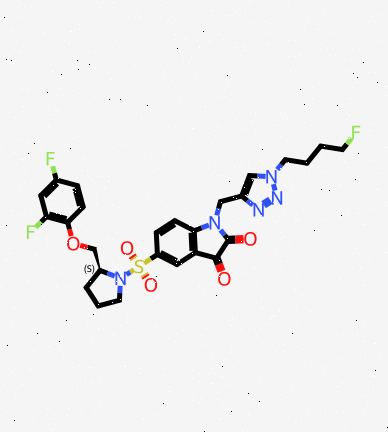 O=C1C(=O)N(Cc2cn(CCCCF)nn2)c2ccc(S(=O)(=O)N3CCC[C@H]3COc3ccc(F)cc3F)cc21